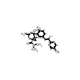 CN(C)C(=O)[C@]12C[C@H]1[C@@](C)(c1cc(/C=C(\F)c3ncc(C#N)cn3)ccc1F)N=C(N)S2